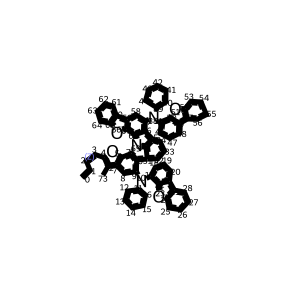 C=C/C=C\c1oc2c(cc(N(c3ccccc3)c3cccc4c3oc3ccccc34)c3c4cccc5c6c(N(c7ccccc7)c7cccc8c7oc7ccccc78)cc7c8ccccc8oc7c6n(c45)c23)c1C